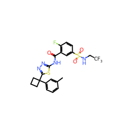 Cc1cccc(C2(c3nnc(NC(=O)c4cc(S(=O)(=O)NCC(F)(F)F)ccc4F)s3)CCC2)c1